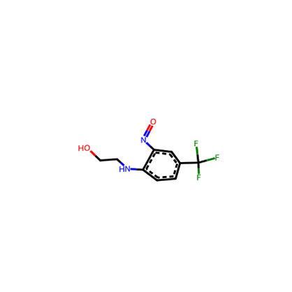 O=Nc1cc(C(F)(F)F)ccc1NCCO